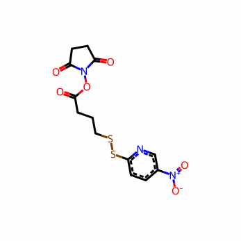 O=C(CCCSSc1ccc([N+](=O)[O-])cn1)ON1C(=O)CCC1=O